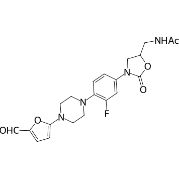 CC(=O)NCC1CN(c2ccc(N3CCN(c4ccc(C=O)o4)CC3)c(F)c2)C(=O)O1